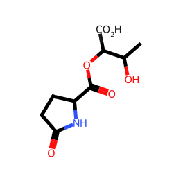 CC(O)C(OC(=O)C1CCC(=O)N1)C(=O)O